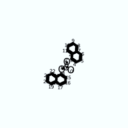 O=S(Oc1cccc2ccccc12)Oc1cccc2ccccc12